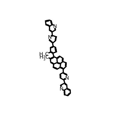 Cc1cc(-c2ccc(-c3cnc4ccccc4c3)nc2)ccc1-c1c(C)cc2ccc3c(-c4ccc(-c5cnc6ccccc6c5)nc4)ccc4ccc1c2c43